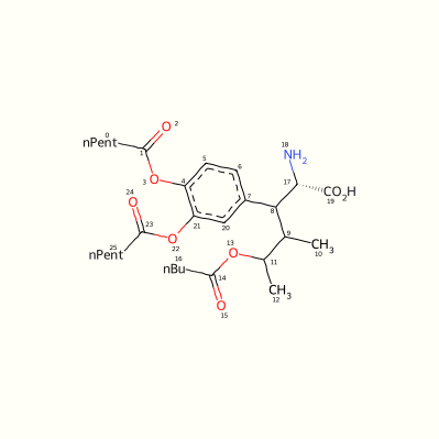 CCCCCC(=O)Oc1ccc(C(C(C)C(C)OC(=O)CCCC)[C@H](N)C(=O)O)cc1OC(=O)CCCCC